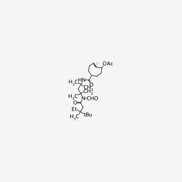 CCC(C)(CC(=O)N(C=O)C(C)(C)CC(C)(C)NC(=O)C1CC/C=C/C(OC(C)=O)CC1)C(C)(C)C